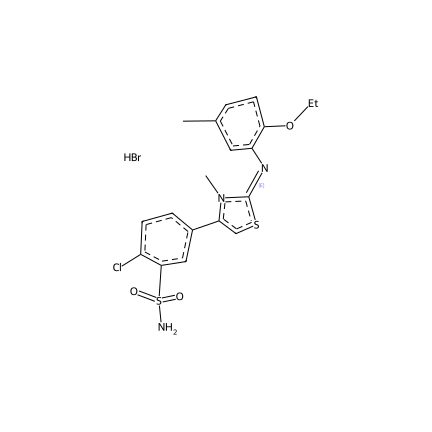 Br.CCOc1ccc(C)cc1/N=c1/scc(-c2ccc(Cl)c(S(N)(=O)=O)c2)n1C